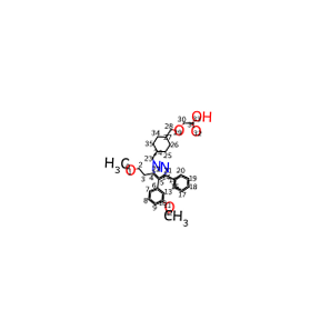 COCCc1c(-c2cccc(OC)c2)c(-c2ccccc2)nn1CC1CCC(COCC(=O)O)CC1